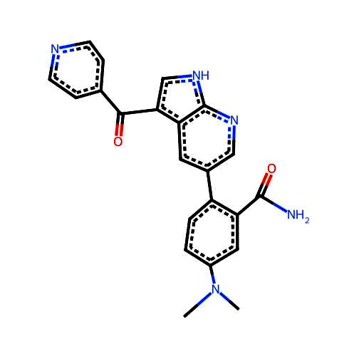 CN(C)c1ccc(-c2cnc3[nH]cc(C(=O)c4ccncc4)c3c2)c(C(N)=O)c1